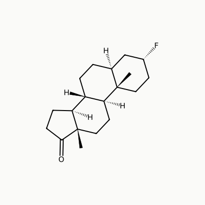 C[C@]12CC[C@@H](F)C[C@@H]1CC[C@@H]1[C@@H]2CC[C@]2(C)C(=O)CC[C@@H]12